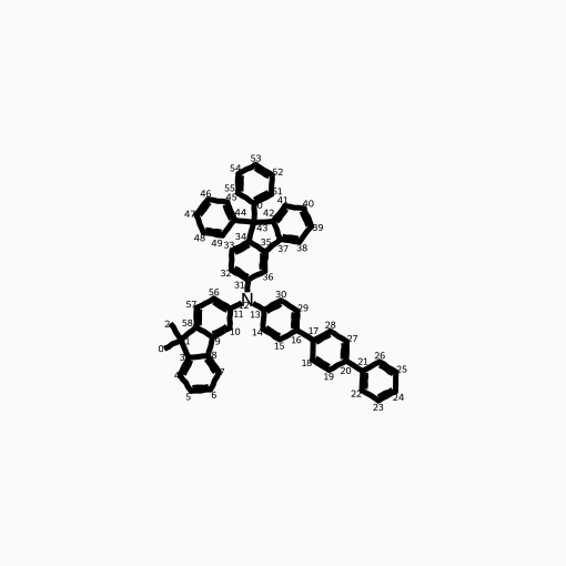 CC1(C)c2ccccc2-c2cc(N(c3ccc(-c4ccc(-c5ccccc5)cc4)cc3)c3ccc4c(c3)-c3ccccc3C4(c3ccccc3)c3ccccc3)ccc21